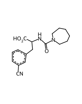 N#Cc1cccc(CC(NC(=O)N2CCCCCC2)C(=O)O)c1